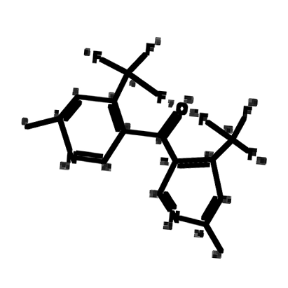 Cc1cc(C(F)(F)F)c(C(=O)c2cnc(C)cc2C(F)(F)F)cn1